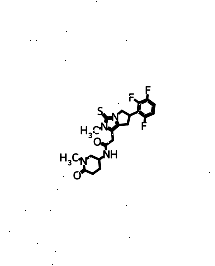 CN1CC(NC(=O)Cc2c3n(c(=S)n2C)CC(c2c(F)ccc(F)c2F)C3)CCC1=O